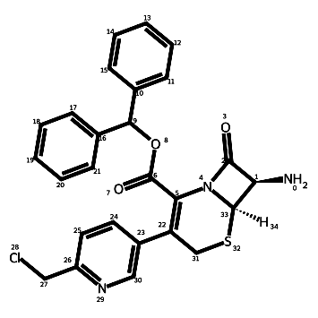 N[C@@H]1C(=O)N2C(C(=O)OC(c3ccccc3)c3ccccc3)=C(c3ccc(CCl)nc3)CS[C@H]12